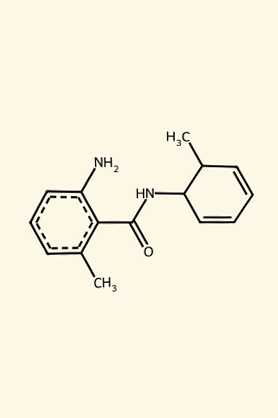 Cc1cccc(N)c1C(=O)NC1C=CC=CC1C